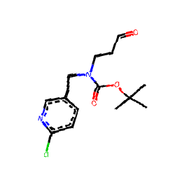 CC(C)(C)OC(=O)N(CCC=O)Cc1ccc(Cl)nc1